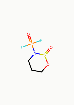 O=S1OCCCN1P(=O)(F)F